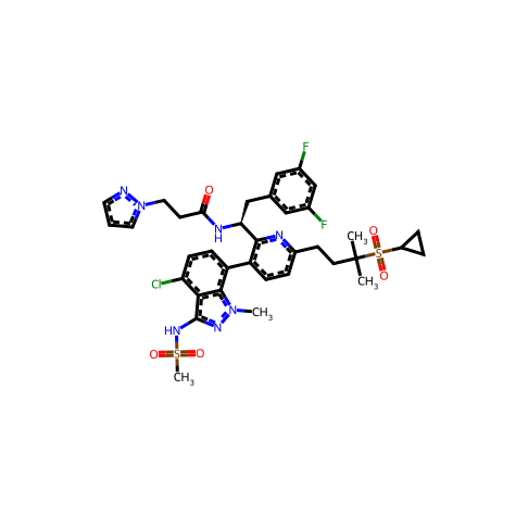 Cn1nc(NS(C)(=O)=O)c2c(Cl)ccc(-c3ccc(CCC(C)(C)S(=O)(=O)C4CC4)nc3[C@H](Cc3cc(F)cc(F)c3)NC(=O)CCn3cccn3)c21